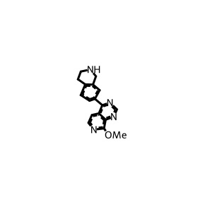 COc1nccc2c(-c3ccc4c(c3)CNCC4)ncnc12